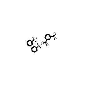 C[N+](C)(C)c1ccccc1.C[N+](C)(C)c1ccccc1.O=C([O-])c1cccc(C(=O)[O-])c1